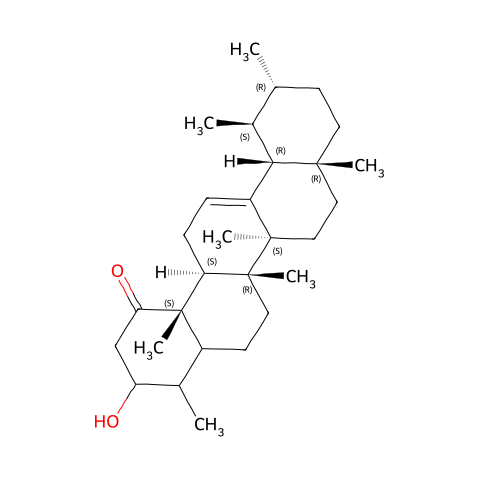 CC1C(O)CC(=O)[C@@]2(C)C1CC[C@]1(C)[C@@H]2CC=C2[C@@H]3[C@@H](C)[C@H](C)CC[C@]3(C)CC[C@]21C